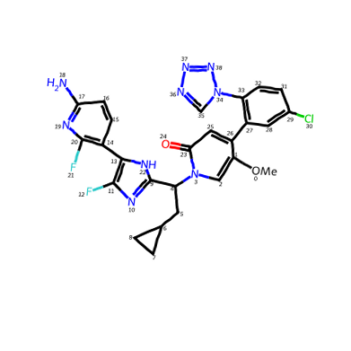 COc1cn(C(CC2CC2)c2nc(F)c(-c3ccc(N)nc3F)[nH]2)c(=O)cc1-c1cc(Cl)ccc1-n1cnnn1